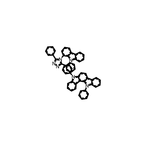 c1ccc(-c2nnc(-c3ccccc3)n2-c2cccc3c4ccccc4n(-c4cccc(-n5c6ccccc6c6c5ccc5c7ccccc7n(-c7ccccc7)c56)c4)c23)cc1